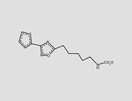 O=C(O)NCCCCCc1nc(-c2cccs2)no1